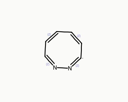 [C]1=N\N=C/C=C\C=C/1